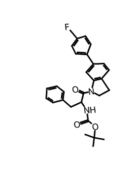 CC(C)(C)OC(=O)NC(Cc1ccccc1)C(=O)N1CCc2ccc(-c3ccc(F)cc3)cc21